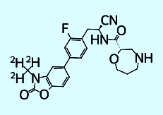 [2H]C([2H])([2H])n1c(=O)oc2ccc(-c3ccc(C[C@@H](C#N)NC(=O)[C@@H]4CNCCCO4)c(F)c3)cc21